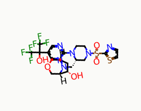 O=S(=O)(c1nccs1)N1CCN(c2ncc(C(O)(C(F)(F)F)C(F)(F)F)cn2)[C@@H](CN2[C@@H]3COC[C@H]2[C@@H](O)C3)C1